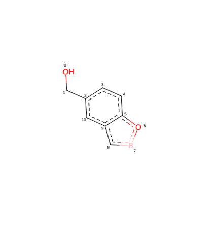 OCc1ccc2obcc2c1